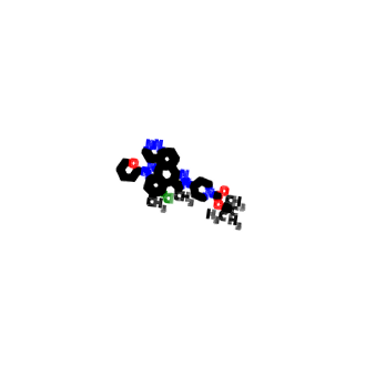 Cc1cc2c(cnn2C2CCCCO2)c(-c2c(-c3ccc4nnccc4c3)nn(C3CCN(C(=O)OC(C)(C)C)CC3)c2C)c1Cl